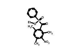 CCOP(=O)(C(=O)c1c(C)cc(C)c([N+](=O)[O-])c1C)c1ccccc1